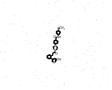 COc1ccc(NC(=O)c2ccc(N3CCN(C(=O)CCc4ccccc4-c4cncc(O)c4)CC3)cc2)cc1